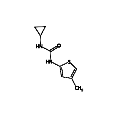 Cc1csc(NC(=O)NC2CC2)c1